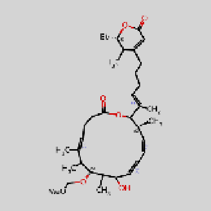 CC[C@@H]1OC(=O)C=C(CCC/C=C(\C)C2OC(=O)CC/C=C(\C)C(C)[C@H](OCOC)C(C)C(O)/C=C\C=C/[C@@H]2C)C1C